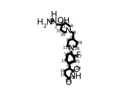 NNCC1(O)CCN(CC2CCN(c3ccc(C4CCC(=O)NC4=O)cc3F)CC2)CC1